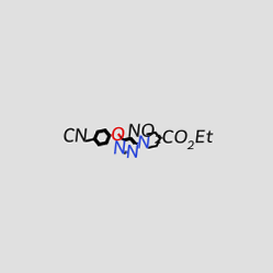 [C-]#[N+]Cc1ccc(Oc2ncnc(N3CCC(C(=O)OCC)CC3)c2[N+](=O)[O-])cc1